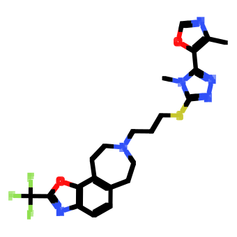 Cc1ncoc1-c1nnc(SCCCN2CCc3ccc4nc(C(F)(F)F)oc4c3CC2)n1C